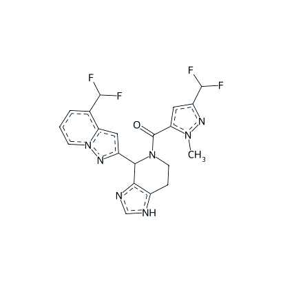 Cn1nc(C(F)F)cc1C(=O)N1CCc2[nH]cnc2C1c1cc2c(C(F)F)cccn2n1